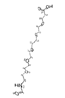 O=CNCCOCCOCCOCCOCCOCCC(=O)O